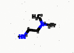 CC(C)N(C)CC[NH]